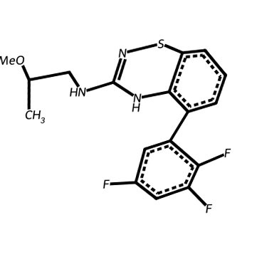 COC(C)CNC1=NSc2cccc(-c3cc(F)cc(F)c3F)c2N1